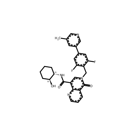 Cc1cncc(-c2cc(F)c(Cn3cc(C(=O)N[C@H]4CCCC[C@@H]4O)c4ncccc4c3=O)c(F)c2)c1